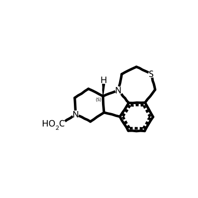 O=C(O)N1CC[C@H]2C(C1)c1cccc3c1N2CCSC3